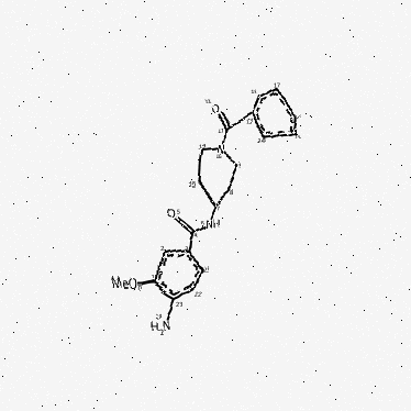 COc1cc(C(=O)NC2CCN(C(=O)c3ccccc3)CC2)ccc1N